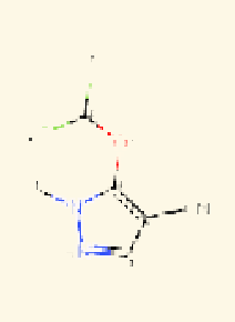 Cn1n[c]c(C#N)c1OC(F)F